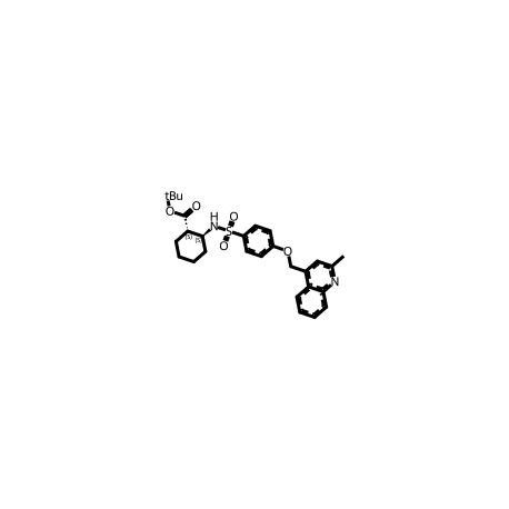 Cc1cc(COc2ccc(S(=O)(=O)N[C@H]3CCCC[C@@H]3C(=O)OC(C)(C)C)cc2)c2ccccc2n1